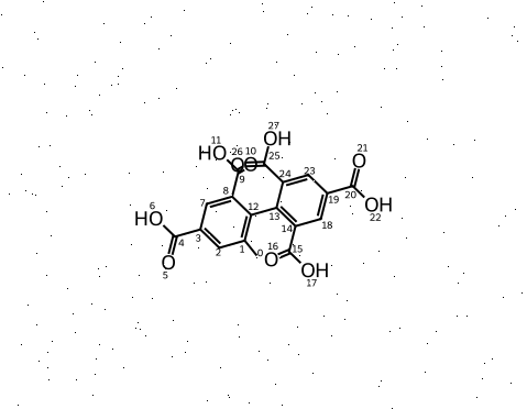 Cc1cc(C(=O)O)cc(C(=O)O)c1-c1c(C(=O)O)cc(C(=O)O)cc1C(=O)O